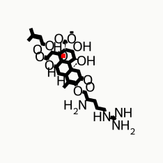 COC(=O)[C@@]12OC[C@]34C([C@@H](O)[C@@H]1O)[C@@]1(C)CC(=O)C(OC(=O)[C@@H](N)CCCNC(=N)N)=C(C)[C@@H]1C[C@H]3OC(=O)[C@H](OC(=O)C=C(C)C)[C@@H]24